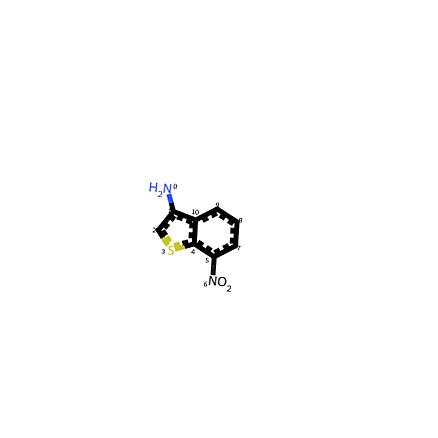 Nc1csc2c([N+](=O)[O-])cccc12